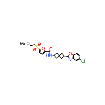 COCCS(=O)(=O)c1ccc(C(=O)NC2CC3(C2)CC(c2nc4cc(Cl)ccc4o2)C3)o1